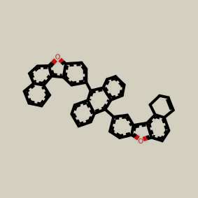 C1=Cc2ccc3oc4ccc(-c5c6ccccc6c(-c6ccc7oc8ccc9ccccc9c8c7c6)c6ccccc56)cc4c3c2CC1